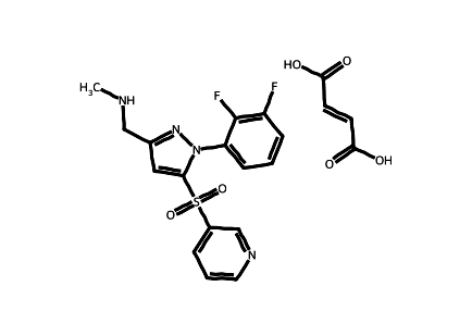 CNCc1cc(S(=O)(=O)c2cccnc2)n(-c2cccc(F)c2F)n1.O=C(O)C=CC(=O)O